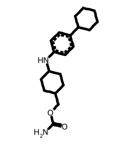 NC(=O)OCC1CCC(Nc2ccc(C3CCCCC3)cc2)CC1